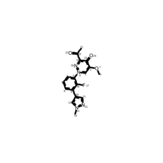 COc1cn(-c2cccc(-c3cnn(C)c3)c2F)nc(C(C)=O)c1=O